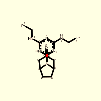 CC(C)CNc1nc(NCC(C)C)nc(N2C3CCC2CC(=O)C3)n1